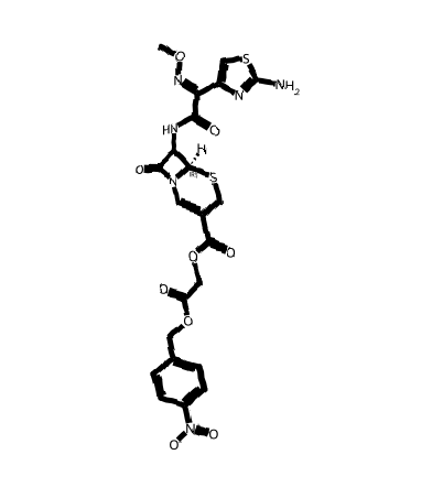 CON=C(C(=O)NC1C(=O)N2C=C(C(=O)OCC(=O)OCc3ccc([N+](=O)[O-])cc3)CS[C@H]12)c1csc(N)n1